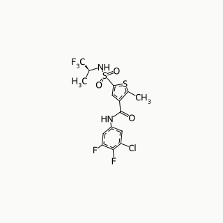 Cc1sc(S(=O)(=O)N[C@@H](C)C(F)(F)F)cc1C(=O)Nc1cc(F)c(F)c(Cl)c1